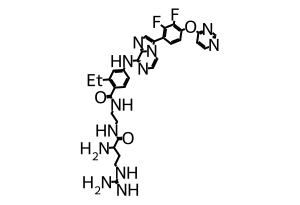 CCc1cc(Nc2nccn3c(-c4ccc(Oc5ccncn5)c(F)c4F)cnc23)ccc1C(=O)NCCNC(=O)C(N)CCNC(=N)N